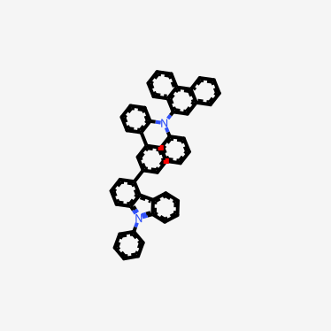 c1ccc(N(c2ccccc2-c2cccc(-c3cccc4c3c3ccccc3n4-c3ccccc3)c2)c2cc3ccccc3c3ccccc23)cc1